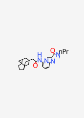 CCCN(C)C(=O)c1cn2c(NC(=O)CC34CC5CCC6(CC6C3)C5C4)cccc2n1